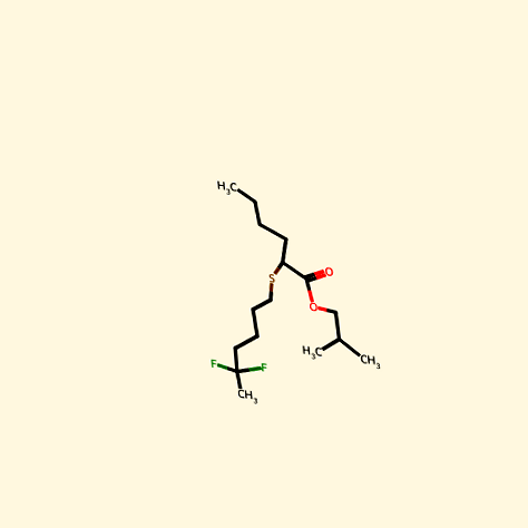 CCCCC(SCCCCC(C)(F)F)C(=O)OCC(C)C